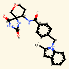 Cc1cc2ccccc2n1Cc1ccc(C(=O)NC2CCOCC23NC(=O)NC3=O)cc1